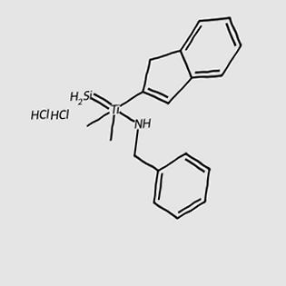 Cl.Cl.[CH3][Ti]([CH3])(=[SiH2])([NH]Cc1ccccc1)[C]1=Cc2ccccc2C1